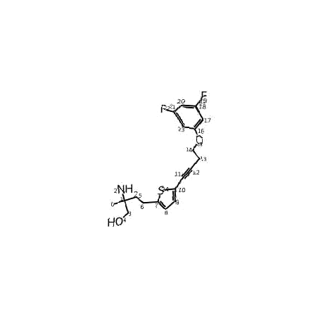 CC(N)(CO)CCc1ccc(C#CCCOc2cc(F)cc(F)c2)s1